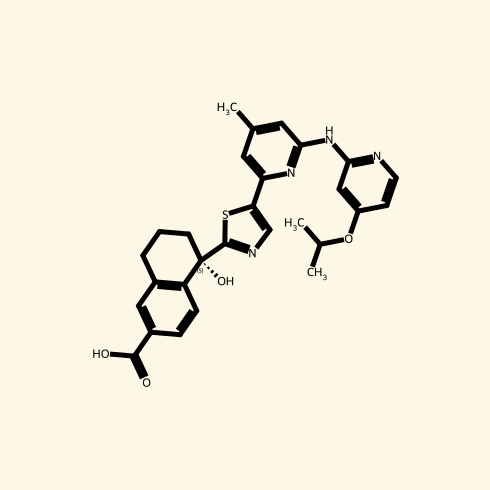 Cc1cc(Nc2cc(OC(C)C)ccn2)nc(-c2cnc([C@]3(O)CCCc4cc(C(=O)O)ccc43)s2)c1